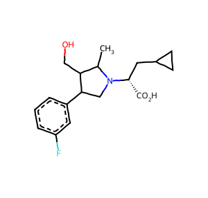 CC1C(CO)C(c2cccc(F)c2)CN1[C@H](CC1CC1)C(=O)O